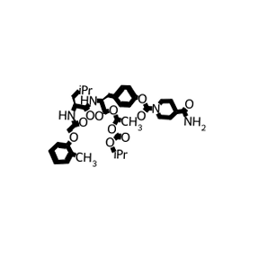 Cc1ccccc1OCC(=O)N[C@@H](CC(C)C)C(=O)N[C@@H](Cc1ccc(OC(=O)N2CCC(C(N)=O)CC2)cc1)C(=O)OC(C)OC(=O)OC(C)C